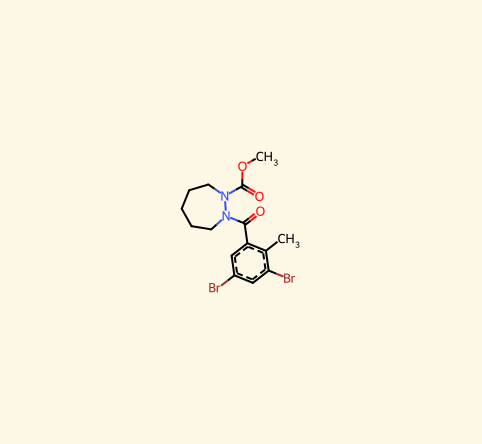 COC(=O)N1CCCCCN1C(=O)c1cc(Br)cc(Br)c1C